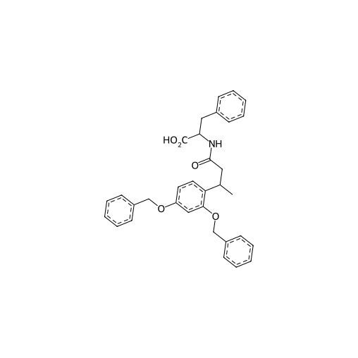 CC(CC(=O)NC(Cc1ccccc1)C(=O)O)c1ccc(OCc2ccccc2)cc1OCc1ccccc1